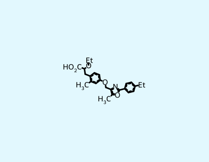 CCOC(Cc1ccc(OCc2nc(-c3ccc(CC)cc3)oc2C)cc1C)C(=O)O